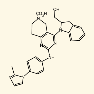 Cc1nccn1-c1ccc(Nc2nc3c(c(N4c5ccccc5CC4CO)n2)CN(C(=O)O)CC3)cc1